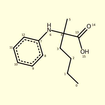 CCCCC(C)(Nc1ccccc1)C(=O)O